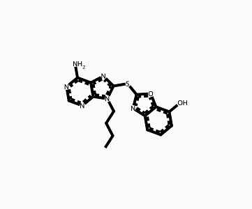 CCCCn1c(Sc2nc3cccc(O)c3o2)nc2c(N)ncnc21